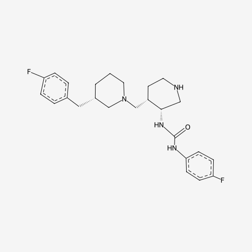 O=C(Nc1ccc(F)cc1)N[C@H]1CNCC[C@H]1CN1CCC[C@@H](Cc2ccc(F)cc2)C1